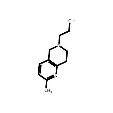 Cc1ccc2c(n1)CCN(CCO)C2